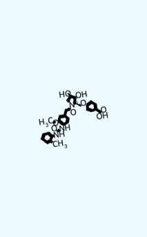 COc1cc(CC(=O)N2C[C@@H](O)[C@H](O)[C@H]2COc2ccc(C(=O)O)cc2)ccc1NC(=O)Nc1ccccc1C